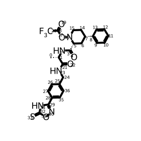 C[C@H](NC(=O)[C@H]1C[C@@H](c2ccccc2)CCN1OC(=O)C(F)(F)F)C(=O)NCc1ccc(-c2noc(=S)[nH]2)cc1